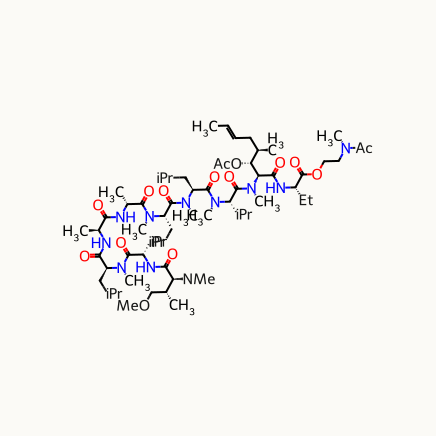 C/C=C/C[C@@H](C)[C@@H](OC(C)=O)[C@@H](C(=O)N[C@@H](CC)C(=O)OCCN(C)C(C)=O)N(C)C(=O)[C@H](C(C)C)N(C)C(=O)[C@H](CC(C)C)N(C)C(=O)[C@H](CC(C)C)N(C)C(=O)[C@@H](C)NC(=O)[C@H](C)NC(=O)[C@H](CC(C)C)N(C)C(=O)[C@@H](NC(=O)[C@@H](NC)[C@H](C)COC)C(C)C